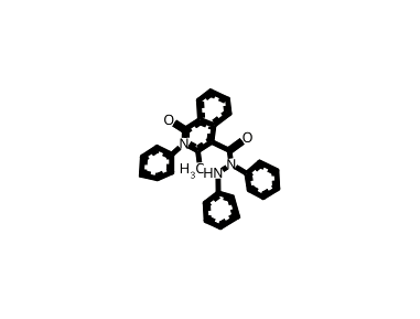 Cc1c(C(=O)N(Nc2ccccc2)c2ccccc2)c2ccccc2c(=O)n1-c1ccccc1